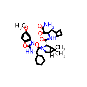 COc1ccc2oc(N[C@H](C(=O)N3C[C@H]4C([C@H]3C(=O)NC(CC3CCC3)C(=O)C(N)=O)C4(C)C)C3CCCCC3)nc2c1